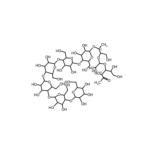 CC(=O)[C@@H](O)C(OC(OC(CO)[C@H](C)OC1OC(CO)C(OC2OC(CO)C(OC3OC(CO)C(OC4OC(CO)C(OC5OC(CO)C(OC6OC(CO)C(O)C(O)C6O)C(O)C5O)C(O)C4O)C(O)C3O)C(O)C2O)C(O)C1O)C(O)O)C(O)CO